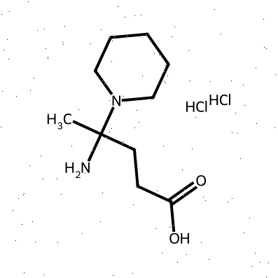 CC(N)(CCC(=O)O)N1CCCCC1.Cl.Cl